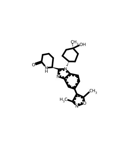 Cc1noc(C)c1-c1ccc2c(c1)nc([C@@H]1CCCC(=O)N1)n2[C@H]1CC[C@](C)(O)CC1